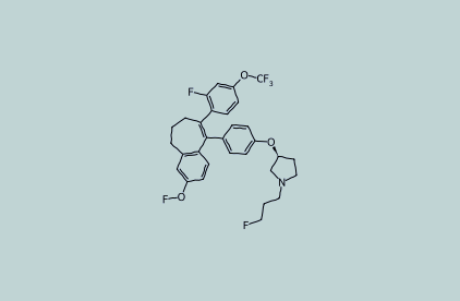 FCCCN1CC[C@H](Oc2ccc(C3=C(c4ccc(OC(F)(F)F)cc4F)CCCc4cc(OF)ccc43)cc2)C1